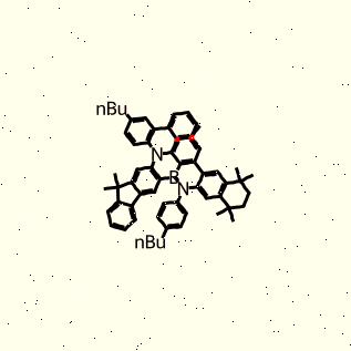 CCCCc1ccc(N2B3c4cc5c(cc4N(c4ccc(CCCC)cc4-c4ccccc4)c4cc(C)cc(c43)-c3cc4c(cc32)C(C)(C)CCC4(C)C)C(C)(C)c2ccccc2-5)cc1